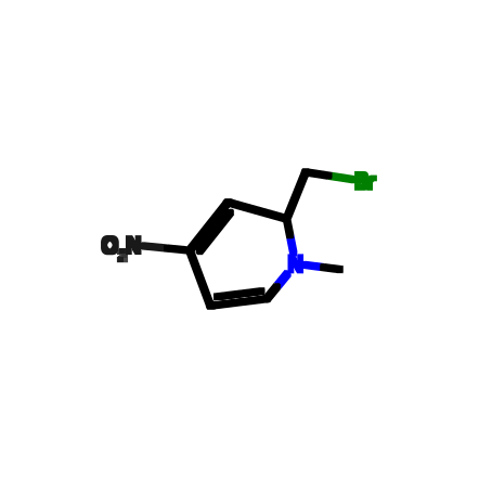 CN1C=CC([N+](=O)[O-])=CC1CBr